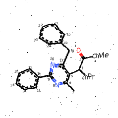 CCCC(C(=O)OC)c1c(C)nc(-c2ccccc2)nc1Cc1ccccc1